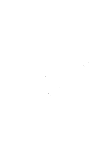 O=C(c1cc2c(Oc3ccc(Cl)cc3)cncc2s1)c1ccccc1[N+](=O)[O-]